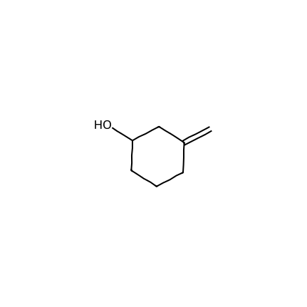 C=C1CCCC(O)C1